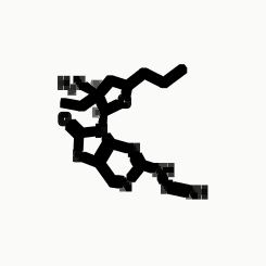 CCCC1C[C@@](N)(CC)[C@H](n2c(=O)sc3cnc(NN=N)nc32)O1